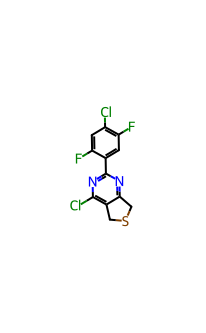 Fc1cc(-c2nc(Cl)c3c(n2)CSC3)c(F)cc1Cl